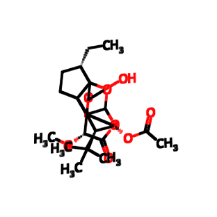 CC[C@H]1CCC23C4OC(O)C12OC1OC(=O)[C@H](OC)C13[C@H](C(C)(C)C)[C@H]4OC(C)=O